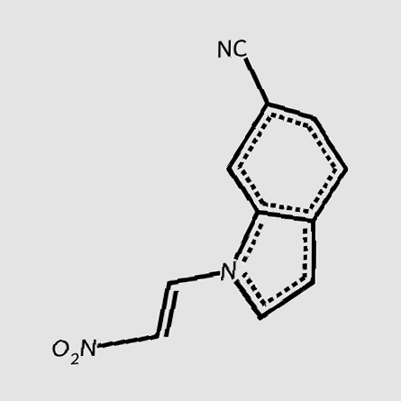 N#Cc1ccc2ccn(C=C[N+](=O)[O-])c2c1